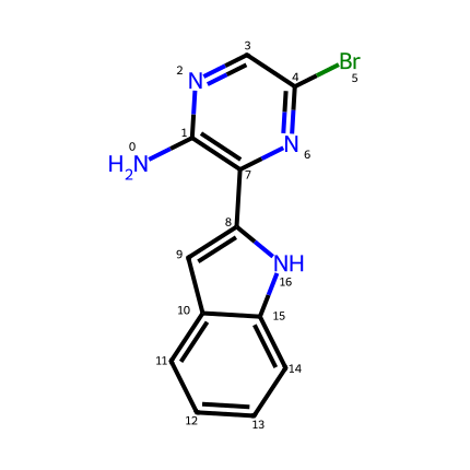 Nc1ncc(Br)nc1-c1cc2ccccc2[nH]1